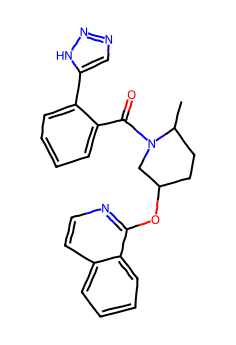 CC1CCC(Oc2nccc3ccccc23)CN1C(=O)c1ccccc1-c1cnn[nH]1